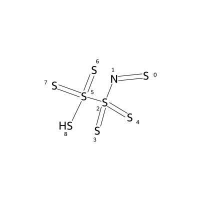 S=NS(=S)(=S)S(=S)(=S)S